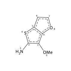 COc1c(N)sc2ccoc12